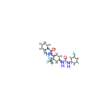 O=C(Nc1cccc(F)c1)Nc1ccc(NC(=O)c2ccccc2F)c(C(F)(F)F)c1